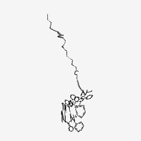 CCCCCCCCCCCCCCCCN(C)S(=O)(=O)c1cccc([N+]2(c3ccccc3)C(=O)N=NC2=O)c1[N+](=O)[O-]